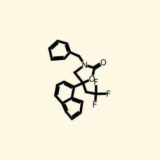 O=C1OC(CC(F)(F)F)(c2cccc3ccccc23)CN1Cc1ccccc1